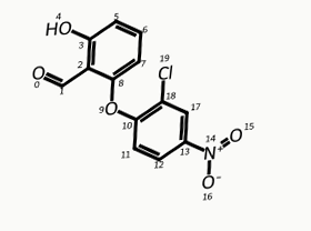 O=Cc1c(O)cccc1Oc1ccc([N+](=O)[O-])cc1Cl